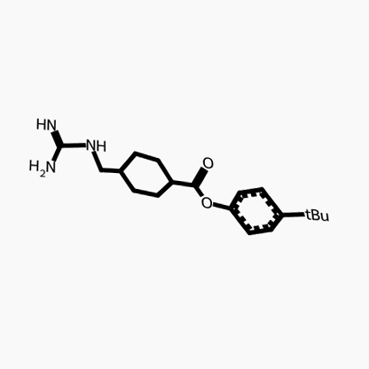 CC(C)(C)c1ccc(OC(=O)C2CCC(CNC(=N)N)CC2)cc1